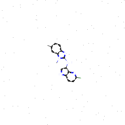 Cn1c(Nc2c[nH]c3ccc(Cl)nc23)nc2ccc(C(F)(F)F)cc21